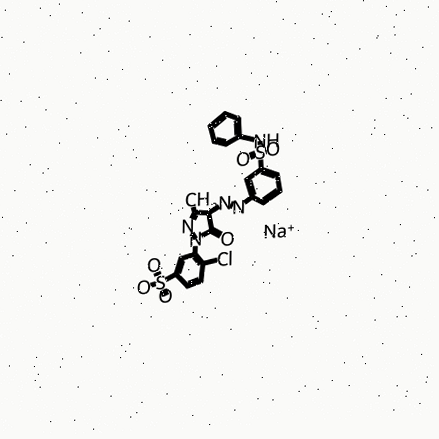 CC1=NN(c2cc(S(=O)(=O)[O-])ccc2Cl)C(=O)C1N=Nc1cccc(S(=O)(=O)Nc2ccccc2)c1.[Na+]